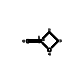 O=[N+]1CCO1